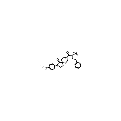 CN(CCc1ccccc1)C(=O)N1CCC2(CC1)CCN(c1ccc(OC(F)(F)F)cc1)C2=O